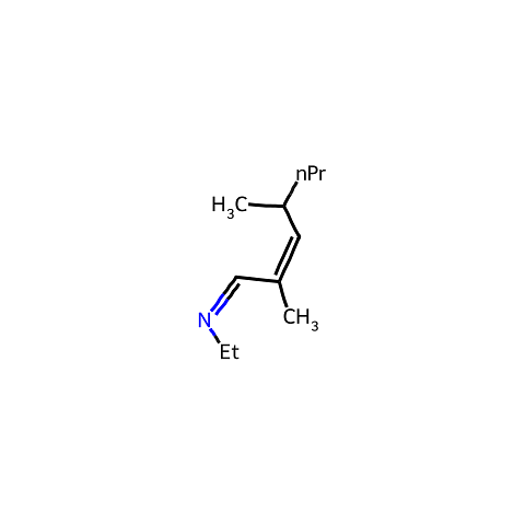 CCCC(C)/C=C(C)\C=N/CC